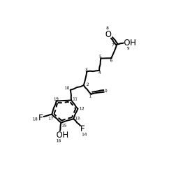 C=CC(CCCCC(=O)O)Cc1cc(F)c(O)c(F)c1